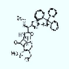 CCON=C(C(=O)N[C@@H]1C(=O)N2C(C(=O)O)=C(CCl)CS[C@H]12)c1csc(NC(c2ccccc2)(c2ccccc2)c2ccccc2)n1